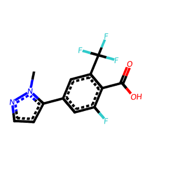 Cn1nccc1-c1cc(F)c(C(=O)O)c(C(F)(F)F)c1